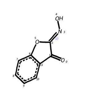 O=C1/C(=N/O)Oc2ccccc21